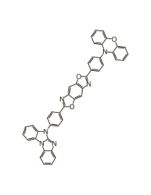 c1ccc2c(c1)Oc1ccccc1N2c1ccc(-c2nc3cc4oc(-c5ccc(-n6c7ccccc7n7c8ccccc8nc67)cc5)nc4cc3o2)cc1